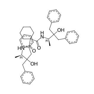 C[C@@H](NC(=O)C1(C(=O)N[C@H](C)C(O)(Cc2ccccc2)Cc2ccccc2)CCCCC1)C(O)(Cc1ccccc1)Cc1ccccc1